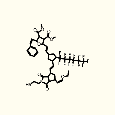 CCO/C=C\C1CC(/C=C/C2CC(/C=C/C3OC(/C=C\c4ccccc4)C(C(=O)OC)C3C(=O)OC)CC2C(F)(F)C(F)(F)C(F)(F)C(F)(F)C(F)(F)C(F)(F)F)C2C(=O)N(CCS)C(=O)C12